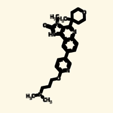 CN(C)CCCOc1ccc(-c2ccc3nc(C4(C)CCOCC4)c4c([nH]c(=O)n4C)c3c2)cn1